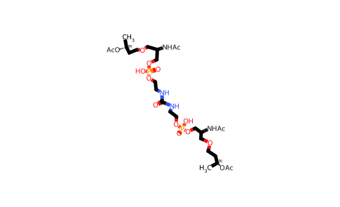 CC(=O)NC(COCC[C@@H](C)OC(C)=O)COP(=O)(O)OCCNC(=O)NCCOP(=O)(O)OCC(COCC[C@@H](C)OC(C)=O)NC(C)=O